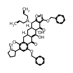 C=CCN(CC=C)[C@@H]1c2onc(OCc3ccccc3)c2C(=O)[C@@]2(O)C(O)=C3C(=O)c4c(OCc5ccccc5)cc(C5CCCN5CC)c(Cl)c4C[C@H]3C[C@@H]12